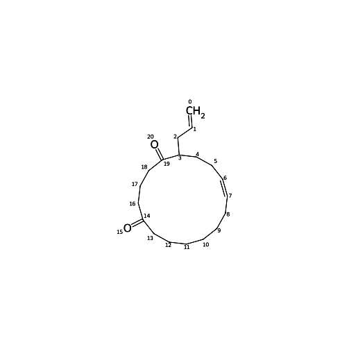 C=CCC1CC/C=C\CCCCCCC(=O)CCCC1=O